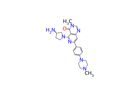 CN1CCN(c2ccc(-c3cc4ncn(C)c(=O)c4c(N4CC[C@@H](N)C4)n3)cc2)CC1